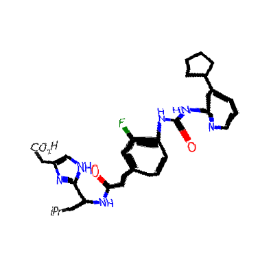 CC(C)CC(NC(=O)Cc1ccc(NC(=O)Nc2ncccc2C2CCCC2)c(F)c1)c1nc(CC(=O)O)c[nH]1